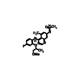 COCC(C)Oc1cc(F)ccc1Nc1ncnc2cc(/N=[SH](/C)=O)cc(C)c12